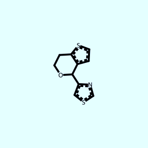 c1nc(C2OCCc3sccc32)cs1